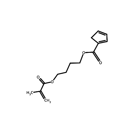 C=C(C)C(=O)OCCCCOC(=O)C1=CC=CC1